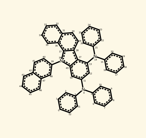 c1ccc(N(c2ccccc2)c2cc(N(c3ccccc3)c3ccccc3)c3c4ccc5ccccc5c4n(-c4ccc5ccccc5c4)c3c2)cc1